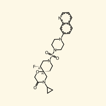 O=C1CO[C@]2(CCN(S(=O)(=O)N3CCN(c4ccc5cccnc5c4)CC3)C[C@H]2F)CN1C1CC1